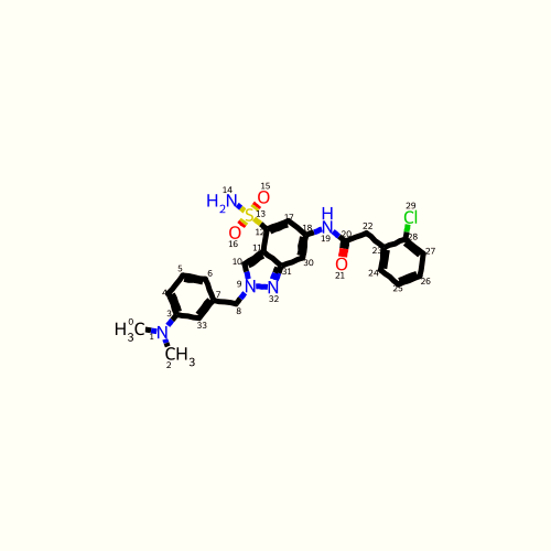 CN(C)c1cccc(Cn2cc3c(S(N)(=O)=O)cc(NC(=O)Cc4ccccc4Cl)cc3n2)c1